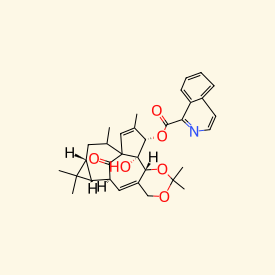 CC1=CC23C(=O)[C@@H](C=C4COC(C)(C)O[C@H]4[C@]2(O)[C@H]1OC(=O)c1nccc2ccccc12)[C@H]1[C@@H](CC3C)C1(C)C